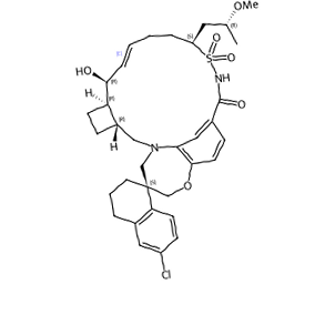 CO[C@H](C)C[C@@H]1CC/C=C/[C@H](O)[C@@H]2CC[C@H]2CN2C[C@@]3(CCCc4cc(Cl)ccc43)COc3ccc(cc32)C(=O)NS1(=O)=O